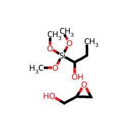 CCC(O)[Si](OC)(OC)OC.OCC1CO1